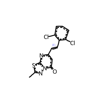 Cc1nn2c(=O)cc(/C=C/c3c(Cl)cccc3Cl)nc2s1